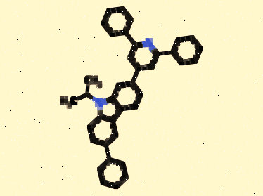 CC(C)n1c2ccc(-c3ccccc3)cc2c2ccc(-c3cc(-c4ccccc4)nc(-c4ccccc4)c3)cc21